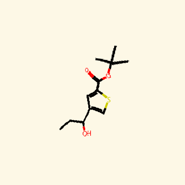 CCC(O)c1csc(C(=O)OC(C)(C)C)c1